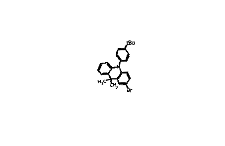 CC(C)(C)c1ccc(N2c3ccccc3C(C)(C)c3cc(Br)ccc32)cc1